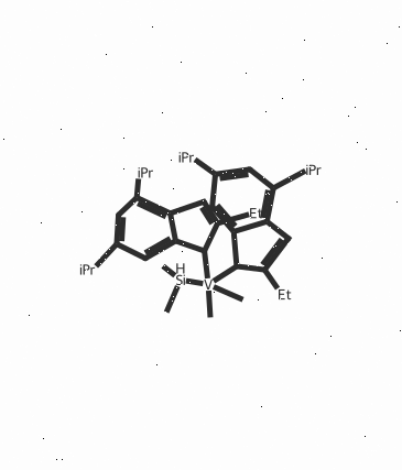 CCC1=Cc2c(C(C)C)cc(C(C)C)cc2[CH]1[V]([CH3])([CH3])([CH]1C(CC)=Cc2c(C(C)C)cc(C(C)C)cc21)[SiH](C)C